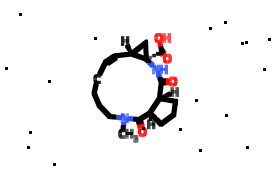 CN1CCCC/C=C\[C@@H]2C[C@@]2(C(=O)O)NC(=O)[C@@H]2CCC[C@H]2C1=O